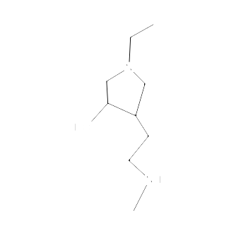 CCN1CC(O)C(CCNC)C1